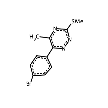 CSc1nnc(-c2ccc(Br)cc2)c(C)n1